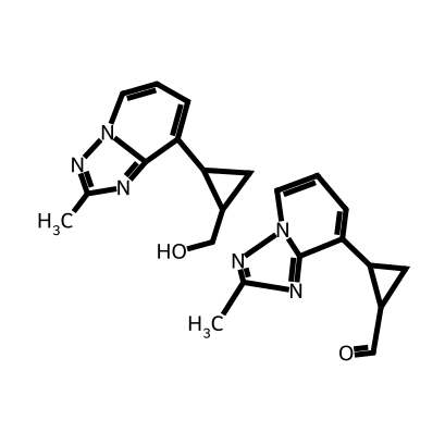 Cc1nc2c(C3CC3C=O)cccn2n1.Cc1nc2c(C3CC3CO)cccn2n1